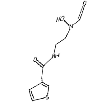 O=CN(O)CCNC(=O)c1ccsc1